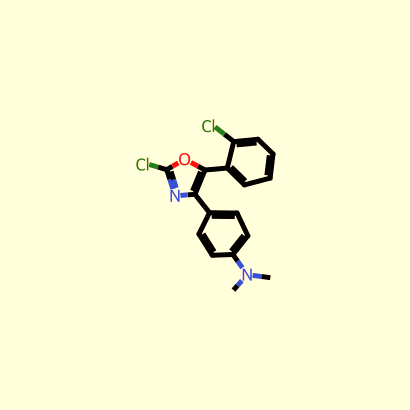 CN(C)c1ccc(-c2nc(Cl)oc2-c2ccccc2Cl)cc1